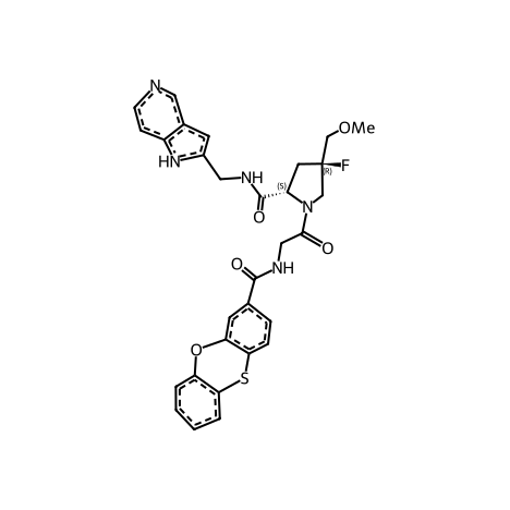 COC[C@@]1(F)C[C@@H](C(=O)NCc2cc3cnccc3[nH]2)N(C(=O)CNC(=O)c2ccc3c(c2)Oc2ccccc2S3)C1